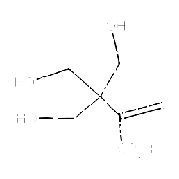 C=C(C(=O)O)C(CO)(CO)CO